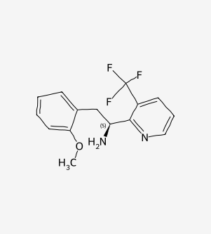 COc1ccccc1C[C@H](N)c1ncccc1C(F)(F)F